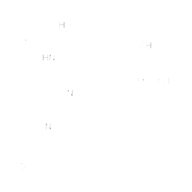 C=C/C(NC=O)=C(\C/C=C(/C)OC)N1CCN(C2COC2)CC1